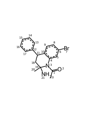 CC(=O)N1c2cc(Br)ccc2C(c2ccccc2)CC1(C)N